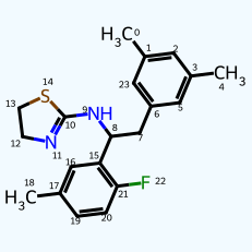 Cc1cc(C)cc(CC(NC2=NCCS2)c2cc(C)ccc2F)c1